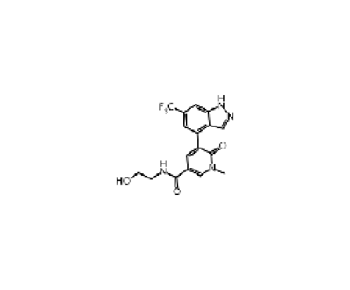 Cn1cc(C(=O)NCCO)cc(-c2cc(C(F)(F)F)cc3[nH]ncc23)c1=O